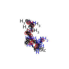 CC(=O)N[C@@H](CCCCNC(=O)OCC1c2ccccc2-c2ccccc21)C(=O)N[C@H](C(=O)N[C@@H](CCCNC(N)=O)C(=O)Nc1ccc(COC(=O)NNC(=O)C[C@@H]2C[C@@]3(CO3)[C@H](O)[C@@H](/C=C/C(C)=C/C[C@@H]3O[C@H](C)[C@H](NC(=O)/C=C\[C@H](C)O)C[C@@H]3C)O2)cc1)C(C)C